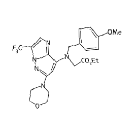 CCOC(=O)CN(Cc1ccc(OC)cc1)c1cc(N2CCOCC2)nn2c(C(F)(F)F)cnc12